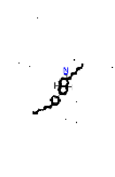 CCCCCCC1CCC([C@H]2CC[C@@H]3C[C@](C#N)(CCCCCC)CC[C@@H]3C2)CC1